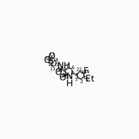 CCc1ccc(-c2ccc(C(=O)N[C@@H]3C=CS(=O)(=O)C3)c(=O)[nH]2)cc1F